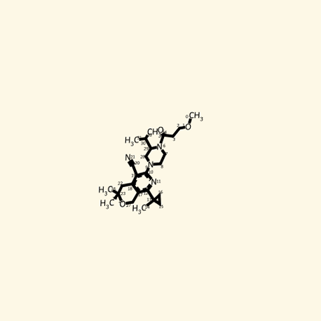 COCCC(=O)N1CCN(c2nc(C3(C)CC3)c3c(c2C#N)CC(C)(C)OC3)CC1C(C)C